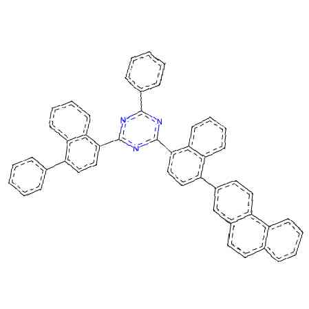 c1ccc(-c2nc(-c3ccc(-c4ccccc4)c4ccccc34)nc(-c3ccc(-c4ccc5c(ccc6ccccc65)c4)c4ccccc34)n2)cc1